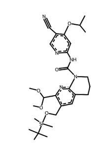 COC(OC)c1nc2c(cc1CO[Si](C)(C)C(C)(C)C)CCCN2C(=O)Nc1cc(OC(C)C)c(C#N)cn1